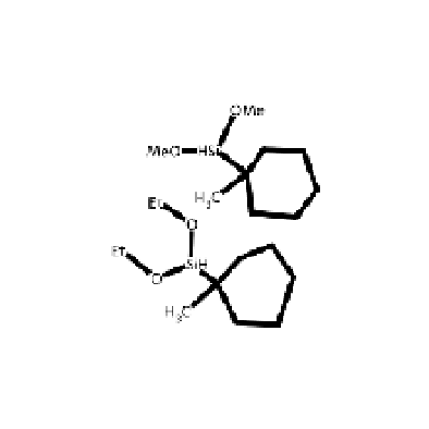 CCO[SiH](OCC)C1(C)CCCCC1.CO[SiH](OC)C1(C)CCCCC1